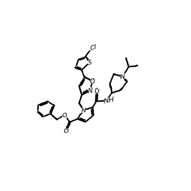 CC(C)N1CCC(NC(=O)c2ccc(C(=O)OCc3ccccc3)n2Cc2cc(-c3ccc(Cl)s3)on2)CC1